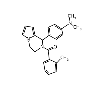 Cc1ccccc1C(=O)N1CCn2cccc2C1c1ccc(N(C)C)cc1